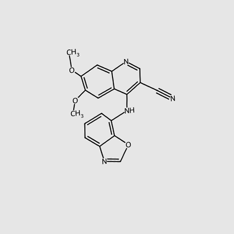 COc1cc2ncc(C#N)c(Nc3cccc4ncoc34)c2cc1OC